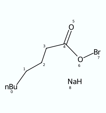 CCCCCCCC(=O)OBr.[NaH]